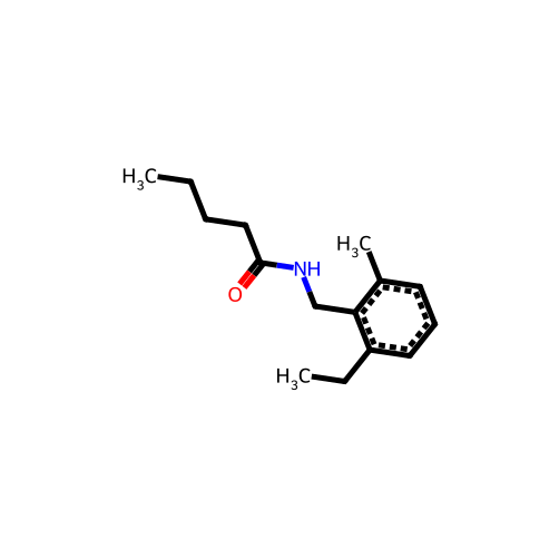 CCCCC(=O)NCc1c(C)cccc1CC